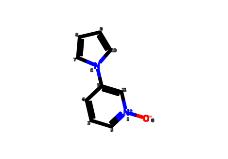 [O-][n+]1cccc(-n2cccc2)c1